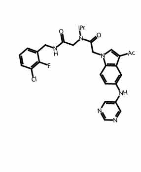 CC(=O)c1cn(CC(=O)N(CC(=O)NCc2cccc(Cl)c2F)C(C)C)c2ccc(Nc3cncnc3)cc12